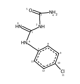 N=C(NC(N)=O)Nc1ccc(Cl)cc1